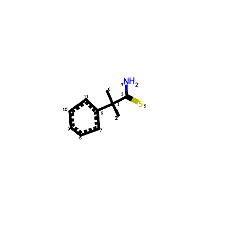 CC(C)(C(N)=S)c1ccccc1